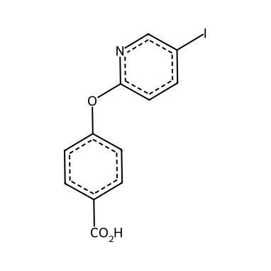 O=C(O)c1ccc(Oc2ccc(I)cn2)cc1